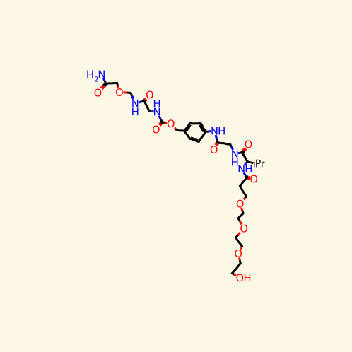 CC(C)C(NC(=O)CCOCCOCCOCCO)C(=O)NCC(=O)Nc1ccc(COC(=O)NCC(=O)NCOCC(N)=O)cc1